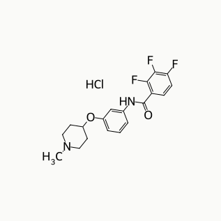 CN1CCC(Oc2cccc(NC(=O)c3ccc(F)c(F)c3F)c2)CC1.Cl